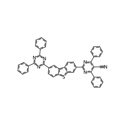 N#Cc1c(-c2ccccc2)nc(-c2ccc3c(c2)sc2ccc(-c4nc(-c5ccccc5)nc(-c5ccccc5)n4)cc23)nc1-c1ccccc1